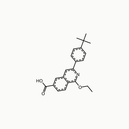 CCOc1nc(-c2ccc(C(C)(C)C)cc2)cc2cc(C(=O)O)ccc12